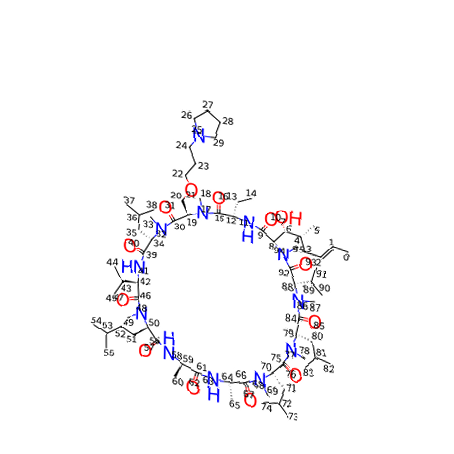 C/C=C/C[C@@H](C)[C@@H](O)[C@H]1C(=O)N[C@@H](CC)C(=O)N(C)[C@H](COCCCN2CCCC2)C(=O)N(C)[C@@H](CC(C)C)C(=O)N[C@H](C(C)C)C(=O)N(C)[C@H](CCC(C)C)C(=O)N[C@H](C)C(=O)N[C@@H](C)C(=O)N(C)[C@@H](CC(C)C)C(=O)N(C)[C@@H](CC(C)C)C(=O)N(C)[C@@H](C(C)C)C(=O)N1C